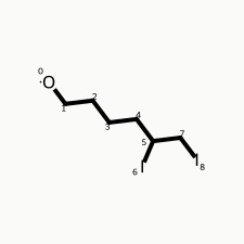 [O]CCCCC(I)CI